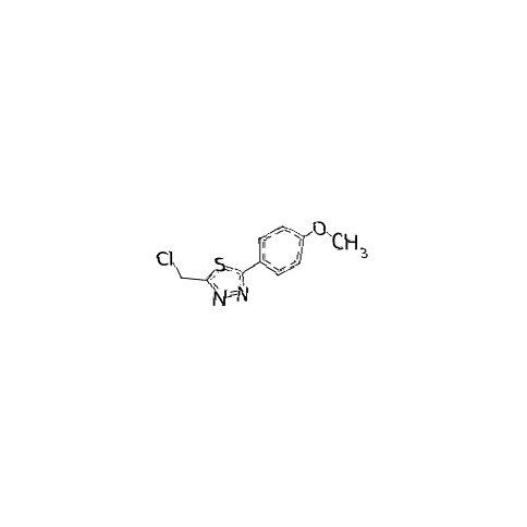 COc1ccc(-c2nnc(CCl)s2)cc1